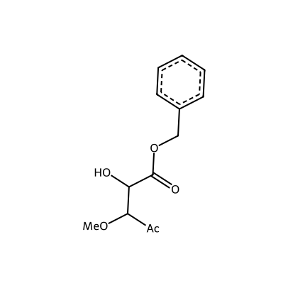 COC(C(C)=O)C(O)C(=O)OCc1ccccc1